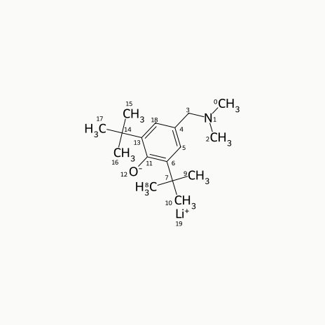 CN(C)Cc1cc(C(C)(C)C)c([O-])c(C(C)(C)C)c1.[Li+]